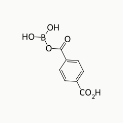 O=C(O)c1ccc(C(=O)OB(O)O)cc1